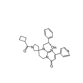 O=C(C1CCC1)N1CCC2(CCn3c(nc(-c4ccncc4)cc3=O)N2C[C@H](O)c2ccccc2)C1